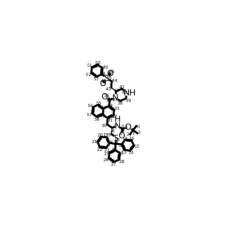 CC(C)(C)OC(=O)N[C@@H](CSC(c1ccccc1)(c1ccccc1)c1ccccc1)Cc1ccc(C(=O)N2CCNC[C@@H]2CCS(=O)(=O)c2ccccc2)c2ccccc12